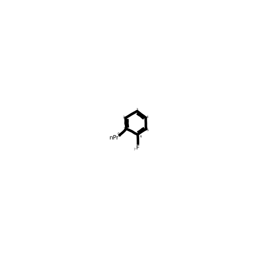 C[CH]Cc1ccccc1F